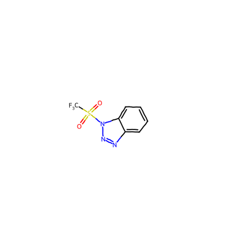 O=S(=O)(n1nnc2ccccc21)C(F)(F)F